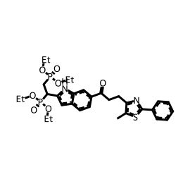 CCOP(=O)(CC(c1cc2ccc(C(=O)CCc3nc(-c4ccccc4)sc3C)cc2[nH]1)P(=O)(OCC)OCC)OCC